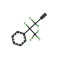 C#CC(F)(F)C(F)(c1ccccc1)C(F)(F)F